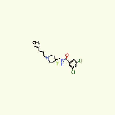 CC=CC=CCN1CCC(F)(CNC(=O)c2cc(Cl)cc(Cl)c2)CC1